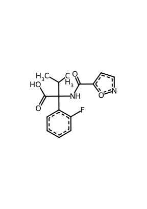 CC(C)C(NC(=O)c1ccno1)(C(=O)O)c1ccccc1F